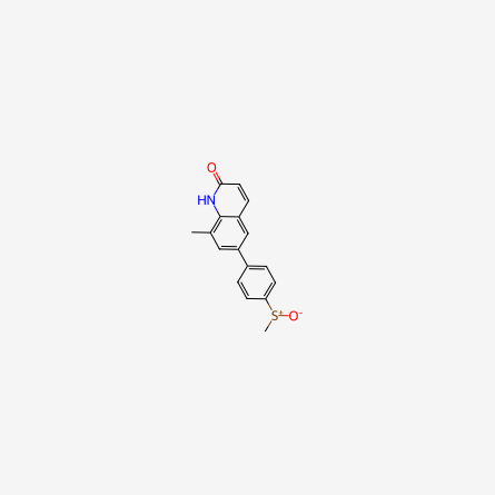 Cc1cc(-c2ccc([S+](C)[O-])cc2)cc2ccc(=O)[nH]c12